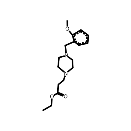 CCOC(=O)CCN1CCN(Cc2ccccc2OC)CC1